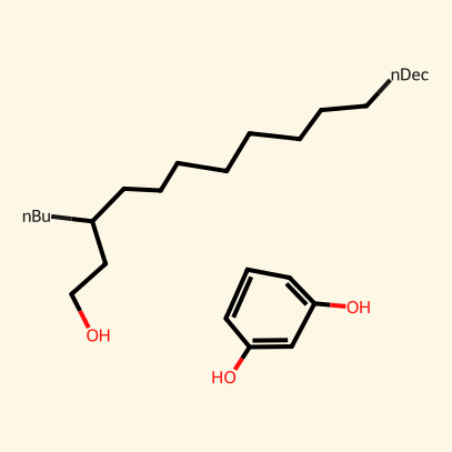 CCCCCCCCCCCCCCCCCCC(CCO)CCCC.Oc1cccc(O)c1